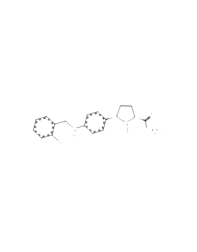 COC(=O)[C@@H]1CC[C@H](c2ccc(NCc3ccccc3F)cc2)N1